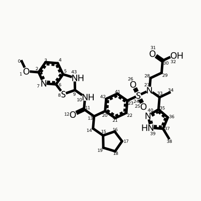 COc1ccc2c(n1)SC(NC(=O)C(CC1CCCC1)c1ccc(S(=O)(=O)N(CCC(=O)O)C(C)c3cc(C)[nH]n3)cc1)N2